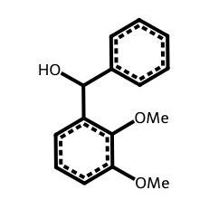 COc1cccc(C(O)c2ccccc2)c1OC